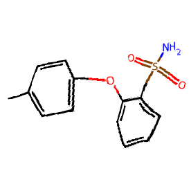 Cc1ccc(Oc2ccccc2S(N)(=O)=O)cc1